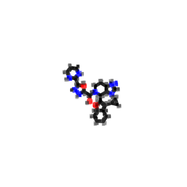 O=C(c1nnc(-c2ncccn2)o1)N1CCc2[nH]cnc2[C@H]1c1oc2ccccc2c1C1CC1